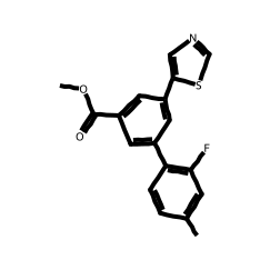 COC(=O)c1cc(-c2cncs2)cc(-c2ccc(C)cc2F)c1